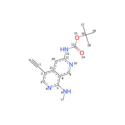 C#Cc1cnc(NC)c2cnc(NC(=O)OC(C)(C)C)cc12